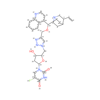 C=CC1CN2CCC1CC2C(OCc1cn(CC2OC(n3cc(F)c(=O)[nH]c3=O)CC2O)nn1)c1ccnc2ccccc12